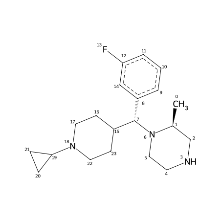 C[C@H]1CNCCN1[C@@H](c1cccc(F)c1)C1CCN(C2CC2)CC1